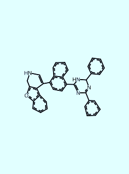 C1=C(c2ccc(C3=NC(c4ccccc4)=NC(c4ccccc4)N3)c3ccccc23)c2c(oc3ccccc23)CN1